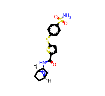 NS(=O)(=O)c1ccc(Sc2ccc(C(=O)N[C@@H]3C[C@H]4CC[C@@H]3N4)s2)cc1